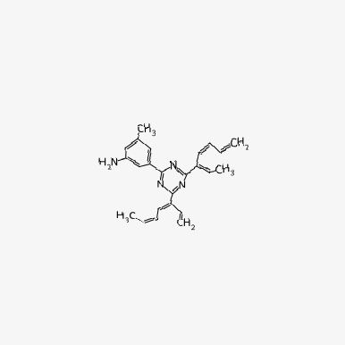 C=C/C=C\C(=C/C)c1nc(/C(C=C)=C/C=C\C)nc(-c2cc(C)cc(N)c2)n1